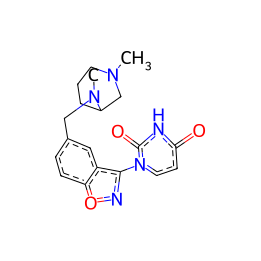 CN1CC2CCC1CN2Cc1ccc2onc(-n3ccc(=O)[nH]c3=O)c2c1